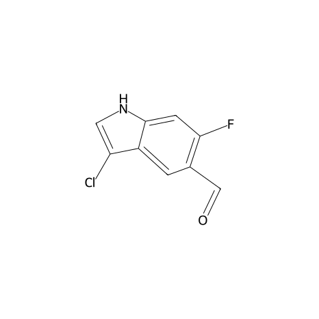 O=Cc1cc2c(Cl)c[nH]c2cc1F